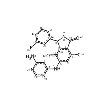 Nc1cc(Nc2cc(Cl)c3n(c2=O)C(c2cccc(F)c2)NC3=O)ncn1